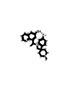 Bc1cc(C(C)OCC2(c3ccc(F)cc3)CCN(C)CC2)c2ncccc2c1